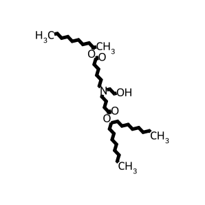 CCCCCCCCC(C)OC(=O)CCCCCN(CCO)CCCC(=O)OC(CCCCCCCC)CCCCCCCC